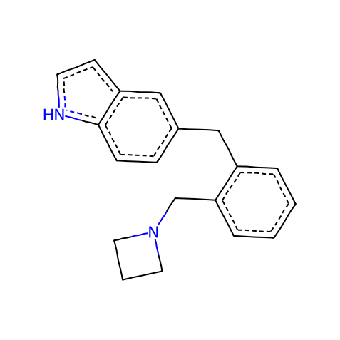 c1ccc(CN2CCC2)c(Cc2ccc3[nH]ccc3c2)c1